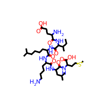 CCC(C)C(NC(=O)C(N)CCC(=O)O)C(=O)NC(CCCCC(C)C)C(=O)NC(CCCCN)C(=O)NC(CC(C)C)C(=O)NC(CCSC)C(=O)O